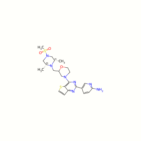 C[C@@H]1CN(S(C)(=O)=O)C[C@H](C)N1CC1CN(c2nc(-c3ccc(N)nc3)nc3ccsc23)CCO1